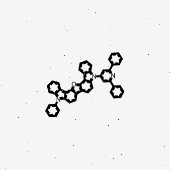 c1ccc(-c2cc(-n3c4ccccc4c4c5oc6c(ccc7c6c6ccccc6n7-c6ccccc6)c5ccc43)cc(-c3ccccc3)n2)cc1